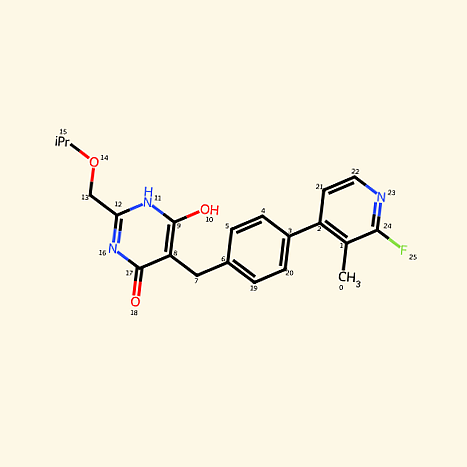 Cc1c(-c2ccc(Cc3c(O)[nH]c(COC(C)C)nc3=O)cc2)ccnc1F